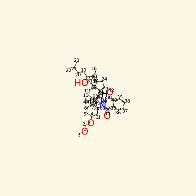 COCOC1CC[C@]2(C)[C@H]3CC[C@]4(C)[C@@H]([C@H](C)C(O)CCC(C)C)CC[C@H]4[C@]34C=CC2(C1)n1c(=O)c2ccccc2c(=O)n14